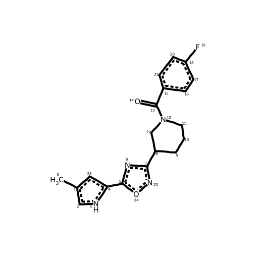 Cc1c[nH]c(-c2nc(C3CCCN(C(=O)c4ccc(F)cc4)C3)no2)c1